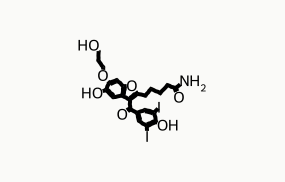 NC(=O)CCCCc1oc2cc(OCCCO)c(O)cc2c1C(=O)c1cc(I)c(O)c(I)c1